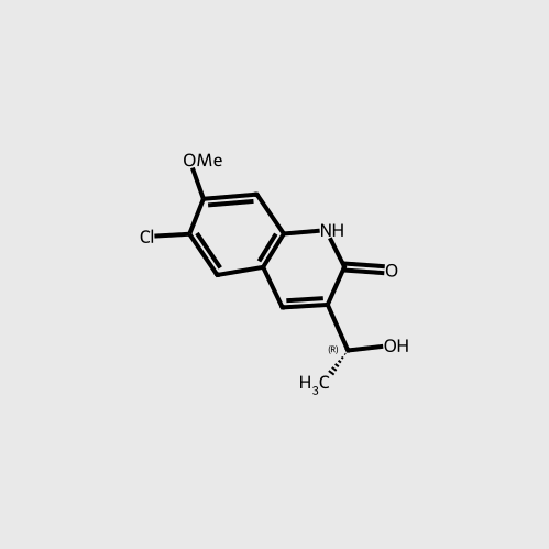 COc1cc2[nH]c(=O)c([C@@H](C)O)cc2cc1Cl